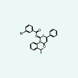 CC(C)c1ccccc1-n1c(=O)cc(-c2ccccc2)sc1=NC(=O)c1cccc(Br)c1